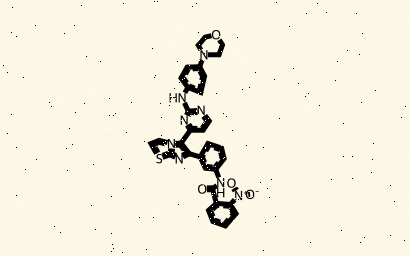 O=C(Nc1cccc(-c2nc3sccn3c2-c2ccnc(Nc3ccc(N4CCOCC4)cc3)n2)c1)c1ccccc1[N+](=O)[O-]